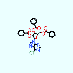 O=C(OC[C@H]1OC(n2cnc3c(Cl)ncnc32)[C@H](OC(=O)c2ccccc2)[C@@H]1OC(=O)c1ccccc1)c1ccccc1